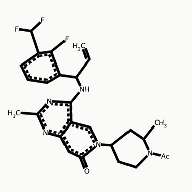 C=CC(Nc1nc(C)nc2cc(=O)n(C3CCN(C(C)=O)C(C)C3)cc12)c1cccc(C(F)F)c1F